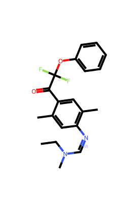 CCN(C)/C=N\c1cc(C)c(C(=O)C(F)(F)Oc2ccccc2)cc1C